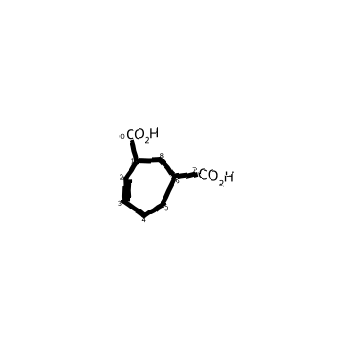 O=C(O)C1C=CCCC(C(=O)O)C1